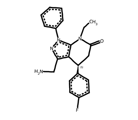 CCN1C(=O)C[C@@H](c2ccc(F)cc2)c2c(CN)nn(-c3ccccc3)c21